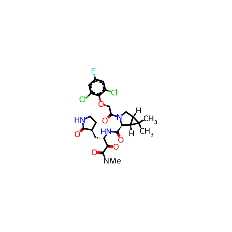 CNC(=O)C(=O)[C@H](C[C@@H]1CCNC1=O)NC(=O)[C@@H]1[C@@H]2[C@H](CN1C(=O)COc1c(Cl)cc(F)cc1Cl)C2(C)C